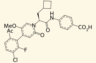 COc1cn([C@@H](CC2CCC2)C(=O)Nc2ccc(C(=O)O)cc2)c(=O)cc1-c1c(C(C)=O)ccc(Cl)c1F